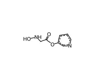 O=C(CNO)Oc1cccnc1